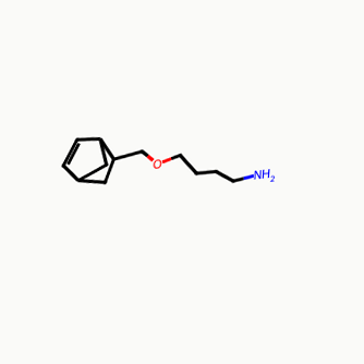 NCCCCOCC1CC2C=CC1C2